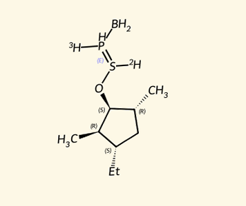 [2H]/S(O[C@@H]1[C@H](C)[C@@H](CC)C[C@H]1C)=[PH](/[3H])B